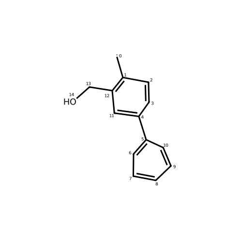 [CH2]c1ccc(-c2ccccc2)cc1CO